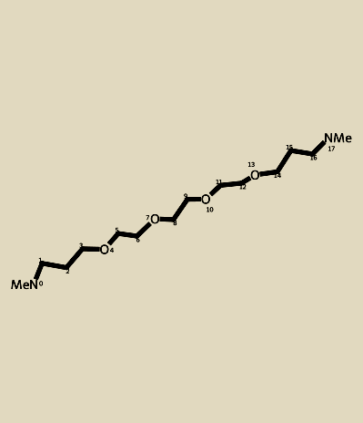 CNCCCOCCOCCOCCOCCCNC